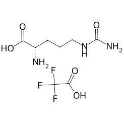 NC(=O)NCCC[C@H](N)C(=O)O.O=C(O)C(F)(F)F